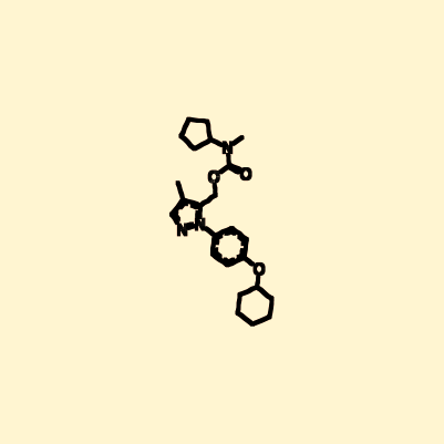 Cc1cnn(-c2ccc(OC3CCCCC3)cc2)c1COC(=O)N(C)C1CCCC1